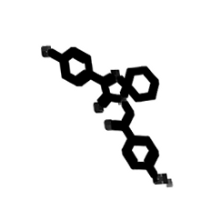 Cc1ccc(C(=O)CN2C(=O)C(c3ccc(Cl)cc3)=NC23CCCCC3)cc1